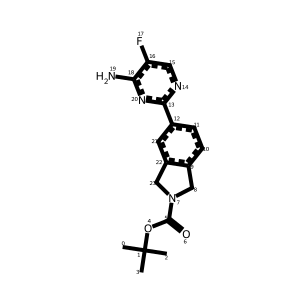 CC(C)(C)OC(=O)N1Cc2ccc(-c3ncc(F)c(N)n3)cc2C1